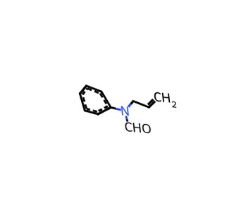 C=CCN(C=O)c1ccccc1